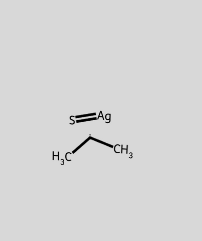 C[CH]C.[S]=[Ag]